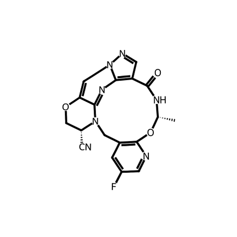 C[C@H]1NC(=O)c2cnn3cc4c(nc23)N(Cc2cc(F)cnc2O1)[C@H](C#N)CO4